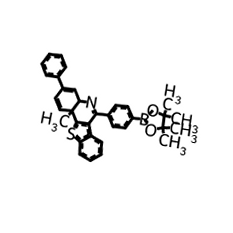 CC12C=CC(c3ccccc3)=CC1N=C(c1ccc(B3OC(C)(C)C(C)(C)O3)cc1)c1c2sc2ccccc12